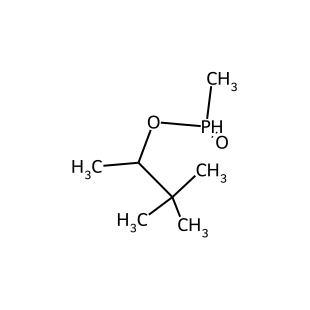 CC(O[PH](C)=O)C(C)(C)C